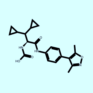 Cc1noc(C)c1-c1ccc(NC(=O)[C@@H](NC(=O)O)C(C2CC2)C2CC2)cc1